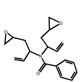 C=CC(CC1CO1)N(C(=O)c1ccccc1)C(C=C)CC1CO1